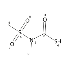 CN(C(=O)S)S(C)(=O)=O